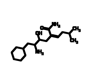 CC(C)CC=C(CC(O)C(N)CC1CCCCC1)C(N)=O